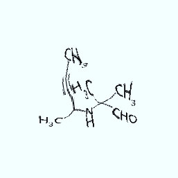 CC#CC(C)NC(C)(C)C=O